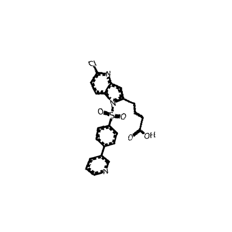 O=C(O)CCCc1cc2nc(Cl)ccc2n1S(=O)(=O)c1ccc(-c2cccnc2)cc1